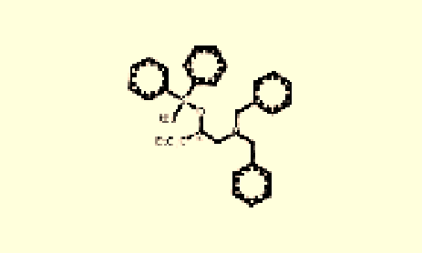 CCOC(=O)[C@H](CN(Cc1ccccc1)Cc1ccccc1)O[Si](c1ccccc1)(c1ccccc1)C(C)(C)C